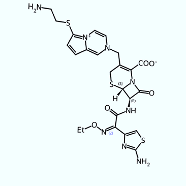 CCO/N=C(\C(=O)N[C@@H]1C(=O)N2C(C(=O)[O-])=C(Cn3cc[n+]4c(SCCN)ccc-4c3)CS[C@@H]12)c1csc(N)n1